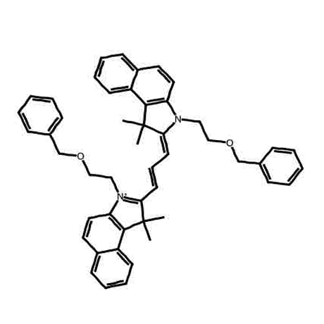 CC1(C)C(/C=C/C=C2/N(CCOCc3ccccc3)c3ccc4ccccc4c3C2(C)C)=[N+](CCOCc2ccccc2)c2ccc3ccccc3c21